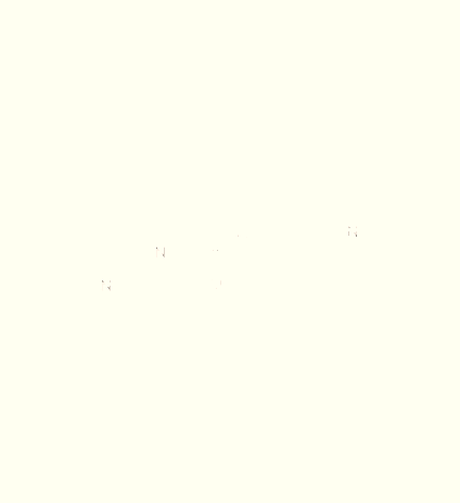 CN(C)CCCOC(=O)CN1CCN(C)CC1